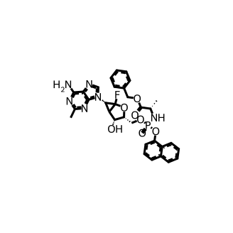 Cc1nc(N)c2ncn([C@H]3C4[C@@H](O)[C@@H](COP(=O)(N[C@@H](C)C(=O)OCc5ccccc5)Oc5cccc6ccccc56)OC43F)c2n1